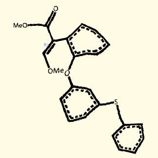 CO/C=C(/C(=O)OC)c1ccccc1Oc1cccc(Sc2ccccc2)c1